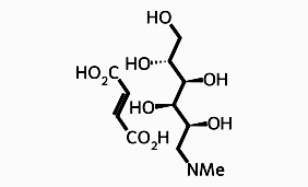 CNC[C@H](O)[C@@H](O)[C@H](O)[C@H](O)CO.O=[13C](O)/C=C/[13C](=O)O